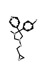 CN1CN(SCC2CO2)CC1(c1ccncc1)c1ccc(F)cc1